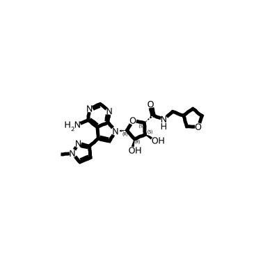 Cn1ccc(-c2cn([C@@H]3O[C@H](C(=O)NCC4CCOC4)[C@@H](O)[C@H]3O)c3ncnc(N)c23)n1